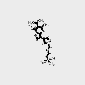 COc1c(C(C)C)c(C)nc2c(-c3cnn(COCC[Si](C)(C)C)c3)cnn12